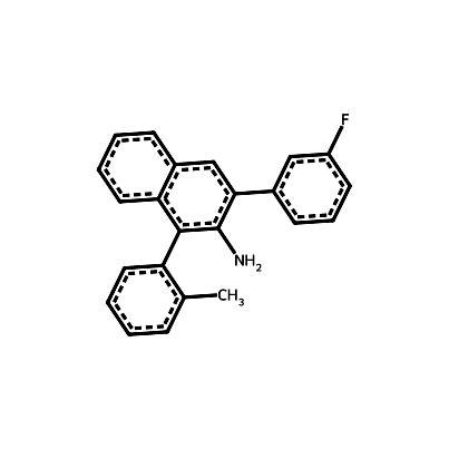 Cc1ccccc1-c1c(N)c(-c2cccc(F)c2)cc2ccccc12